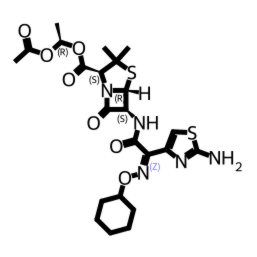 CC(=O)O[C@@H](C)OC(=O)[C@@H]1N2C(=O)[C@H](NC(=O)/C(=N\OC3CCCCC3)c3csc(N)n3)[C@H]2SC1(C)C